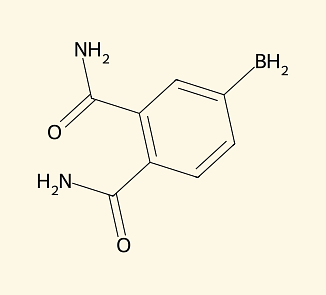 Bc1ccc(C(N)=O)c(C(N)=O)c1